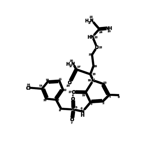 Cc1cc(NS(=O)(=O)Cc2cccc(Cl)c2)c(=O)n(C(CCONC(=N)N)C(N)=O)c1